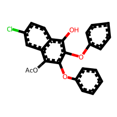 CC(=O)Oc1c(Oc2ccccc2)c(Oc2ccccc2)c(O)c2ccc(Cl)cc12